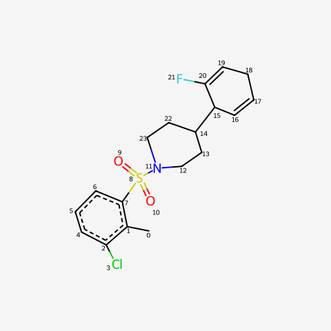 Cc1c(Cl)cccc1S(=O)(=O)N1CCC(C2C=CCC=C2F)CC1